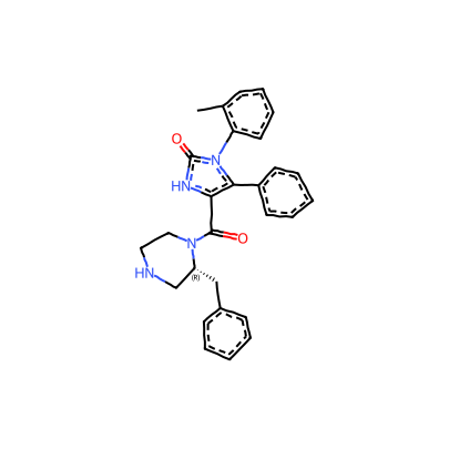 Cc1ccccc1-n1c(-c2ccccc2)c(C(=O)N2CCNC[C@H]2Cc2ccccc2)[nH]c1=O